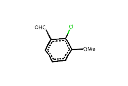 COc1cccc([C]=O)c1Cl